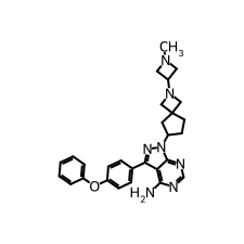 CN1CC(N2CC3(CCC(n4nc(-c5ccc(Oc6ccccc6)cc5)c5c(N)ncnc54)C3)C2)C1